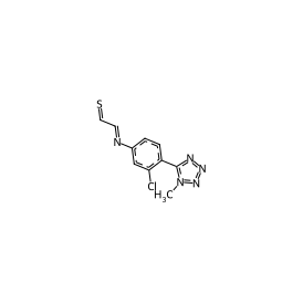 Cn1nnnc1-c1ccc(N=CC=S)cc1Cl